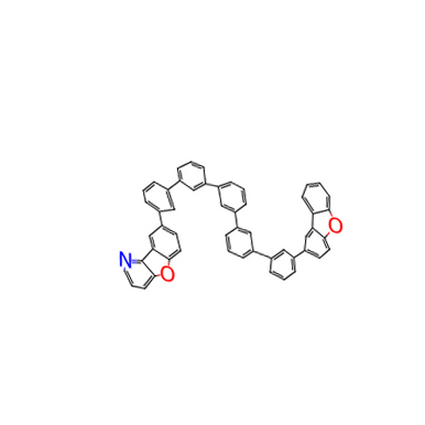 c1cc(-c2cccc(-c3cccc(-c4ccc5oc6ccccc6c5c4)c3)c2)cc(-c2cccc(-c3cccc(-c4ccc5oc6cccnc6c5c4)c3)c2)c1